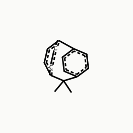 CC1(C)c2ccc(cc2)-c2ccc1cc2